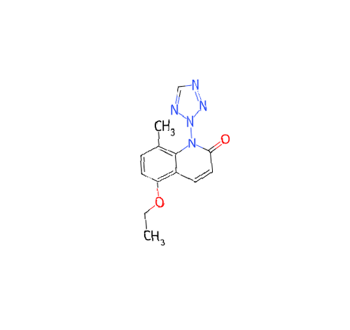 CCOc1ccc(C)c2c1ccc(=O)n2-n1ncnn1